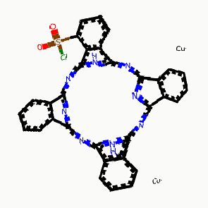 O=S(=O)(Cl)c1cccc2c3nc4nc(nc5[nH]c(nc6nc(nc([nH]3)c12)-c1ccccc1-6)c1ccccc51)-c1ccccc1-4.[Cu].[Cu]